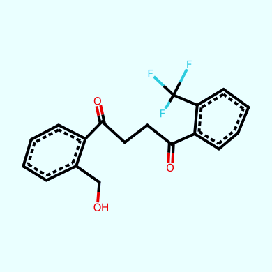 O=C(CCC(=O)c1ccccc1C(F)(F)F)c1ccccc1CO